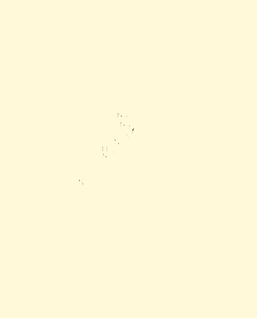 Cc1cn(C)c(=O)c(NC(=O)N[C@@H](CC(=O)[O-])c2cccc(-c3cc(F)ccc3F)c2)c1[O-].[Na+].[Na+]